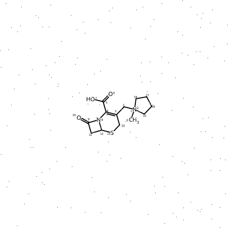 C[N+]1(CC2=C(C(=O)O)N3C(=O)CC3SC2)CCCC1